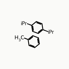 CC(C)c1ccc(C(C)C)cc1.Cc1ccccc1